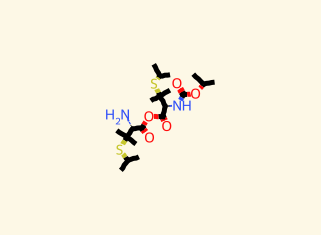 CC(C)OC(=O)N[C@H](C(=O)OC(=O)[C@@H](N)C(C)(C)SC(C)C)C(C)(C)SC(C)C